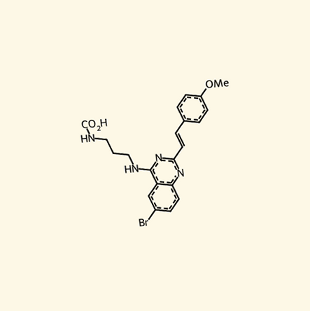 COc1ccc(/C=C/c2nc(NCCCNC(=O)O)c3cc(Br)ccc3n2)cc1